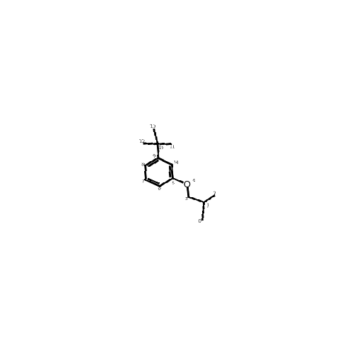 CC(C)COc1cccc(C(C)(C)C)c1